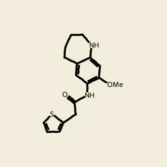 COc1cc2c(cc1NC(=O)Cc1cccs1)CCCCN2